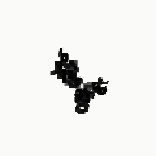 CCOc1nc(C)nc2c1ncn2[C@@H]1O[C@H](COP(=O)(N[C@H](C)C(=O)OC(C)C)Oc2ccccc2)C[C@@]1(C)F